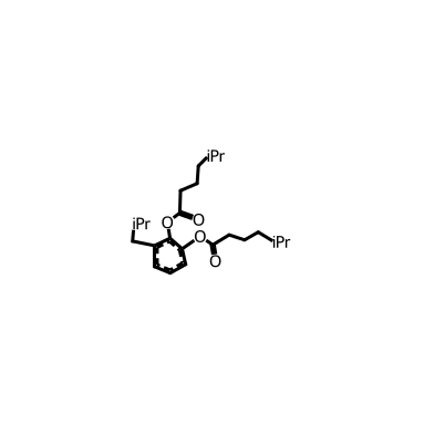 CC(C)CCCC(=O)Oc1cccc(CC(C)C)c1OC(=O)CCCC(C)C